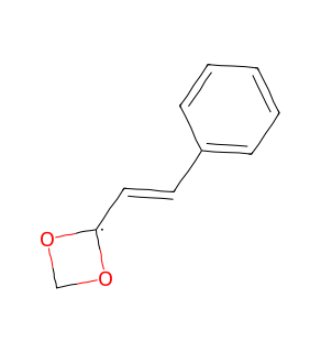 C(=Cc1ccccc1)[C]1OCO1